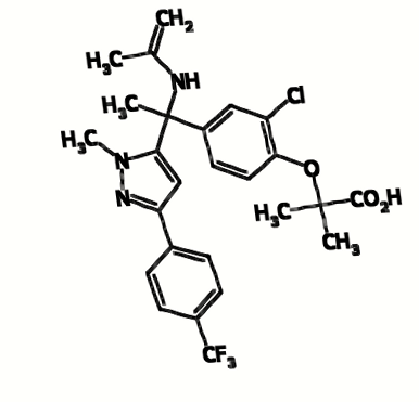 C=C(C)NC(C)(c1ccc(OC(C)(C)C(=O)O)c(Cl)c1)c1cc(-c2ccc(C(F)(F)F)cc2)nn1C